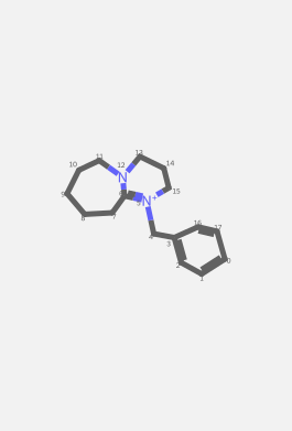 c1ccc(C[N+]2=C3CCCCCN3CCC2)cc1